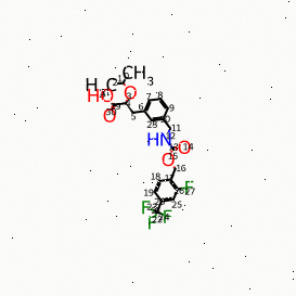 CC(C)O[C@@H](Cc1cccc(CNC(=O)OCc2ccc(C(F)(F)F)cc2F)c1)C(=O)O